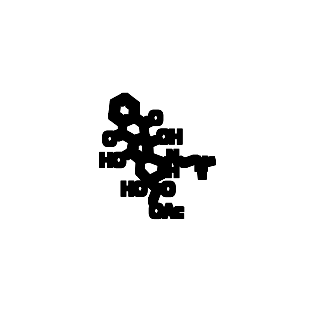 CC(=O)OCC(=O)[C@]1(O)Cc2c(O)c3c(c(O)c2[C@@H](NCCN(C)C)C1)C(=O)c1ccccc1C3=O